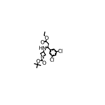 CCOC(=O)C[C@H](NC1CN(C(=O)OC(C)(C)C)C1)c1cc(Cl)cc(Cl)c1